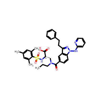 CCCN(C[C@H](NS(=O)(=O)c1c(C)cc(C)cc1C)C(=O)O)C(=O)c1ccc2c(c1)c(CCc1ccccc1)nn2Nc1ccccn1